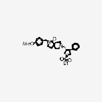 CCS(=O)(=O)N1C[C@H](CN2CCC3(CC2)CCN(Cc2ccc(OC)cc2)C3=O)[C@@H](c2ccccc2)C1